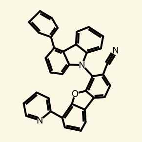 N#Cc1ccc2c(oc3c(-c4ccccn4)cccc32)c1-n1c2ccccc2c2c(-c3ccccc3)cccc21